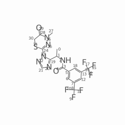 CC(NC(=O)c1cc(C(F)(F)F)cc(C(F)(F)F)c1)c1ncnn1C1=NN(C)C(=O)CS1